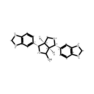 OC1O[C@H](c2ccc3c(c2)OCO3)[C@H]2CO[C@H](c3ccc4c(c3)OCO4)[C@@H]12